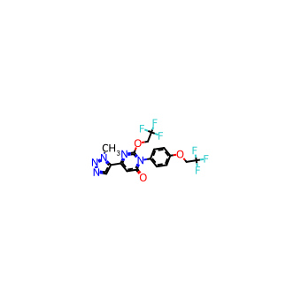 Cn1nncc1-c1cc(=O)n(-c2ccc(OCC(F)(F)F)cc2)c(OCC(F)(F)F)n1